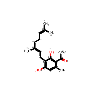 COC(=O)c1c(C)cc(O)c(C/C=C(\C)CCC=C(C)C)c1O